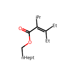 CCCCCCCCOC(=O)C(=C(CC)CC)C(C)C